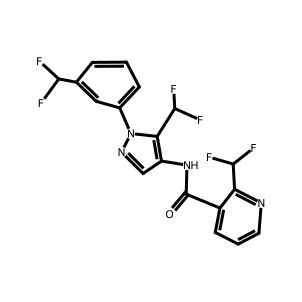 O=C(Nc1cnn(-c2cccc(C(F)F)c2)c1C(F)F)c1cccnc1C(F)F